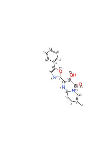 Cc1ccc2nc(-c3ncc(-c4ccccc4)o3)c(O)c(=O)n2c1